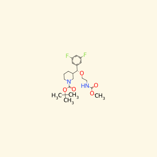 COC(=O)NCCO[C@@H](c1cc(F)cc(F)c1)C1CCCN(C(=O)OC(C)(C)C)C1